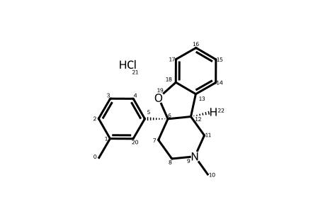 Cc1cccc([C@@]23CCN(C)C[C@@H]2c2ccccc2O3)c1.Cl